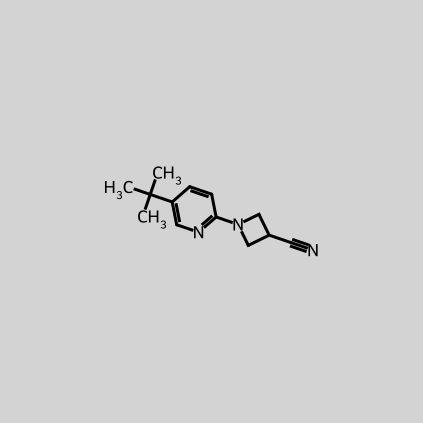 CC(C)(C)c1ccc(N2CC(C#N)C2)nc1